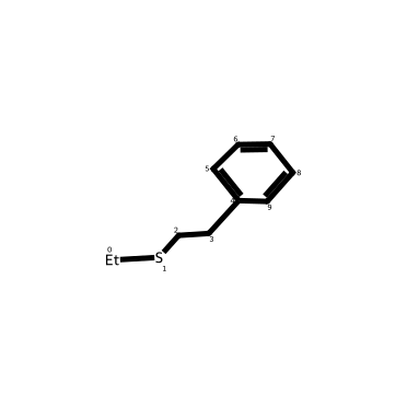 CCSCCc1ccccc1